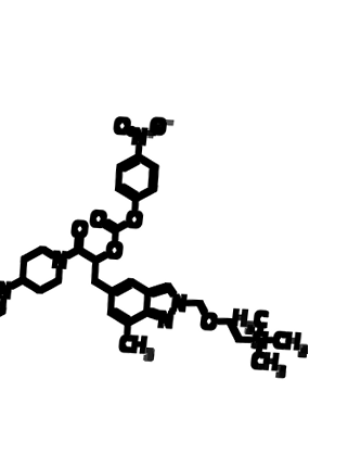 Cc1cc(CC(OC(=O)Oc2ccc([N+](=O)[O-])cc2)C(=O)N2CCC(N3CCCCC3)CC2)cc2cn(COCC[Si](C)(C)C)nc12